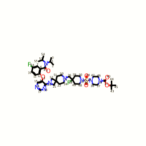 CC(C)N(C(=O)c1cc(F)ccc1Oc1cncnc1N1CC2(CCN(CC3(F)CCN(S(=O)(=O)N4CCN(C(=O)OC(C)(C)C)CC4)CC3)CC2)C1)C(C)C